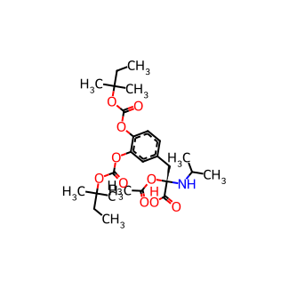 CCC(C)(C)OC(=O)Oc1ccc(C[C@](NC(C)C)(OC(C)=O)C(=O)O)cc1OC(=O)OC(C)(C)CC